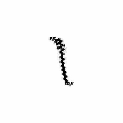 O=C(O)CCCCCCCCCCCCCCNC(=O)Nc1cnc(C(F)(F)F)nc1